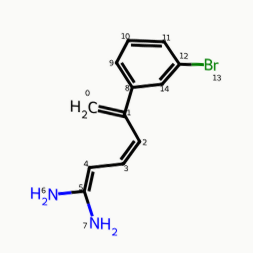 C=C(/C=C\C=C(N)N)c1cccc(Br)c1